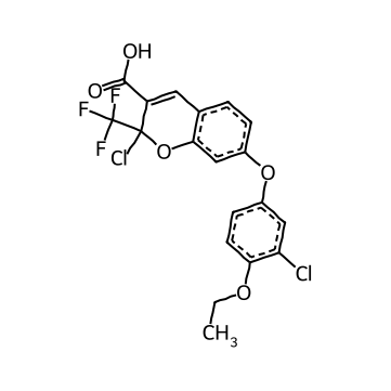 CCOc1ccc(Oc2ccc3c(c2)OC(Cl)(C(F)(F)F)C(C(=O)O)=C3)cc1Cl